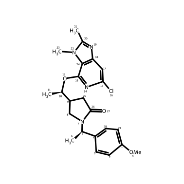 COc1ccc([C@@H](C)N2CC([C@@H](C)Oc3nc(Cl)cc4nc(C)n(C)c34)CC2=O)cc1